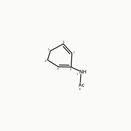 CC(=O)NC1=CCCC=C1